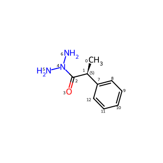 C[C@H](C(=O)N(N)N)c1ccccc1